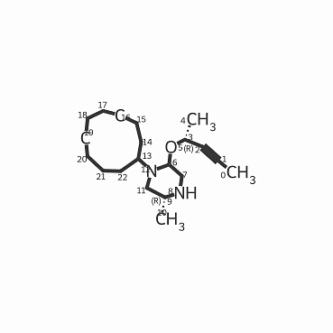 CC#C[C@@H](C)OC1CN[C@H](C)CN1C1CCCCCCCCC1